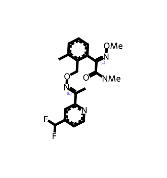 CNC(=O)/C(=N/OC)c1cccc(C)c1CO/N=C(\C)c1cc(C(F)F)ccn1